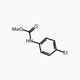 CCc1ccc(NC(=O)OC)cc1